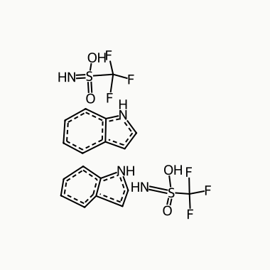 N=S(=O)(O)C(F)(F)F.N=S(=O)(O)C(F)(F)F.c1ccc2[nH]ccc2c1.c1ccc2[nH]ccc2c1